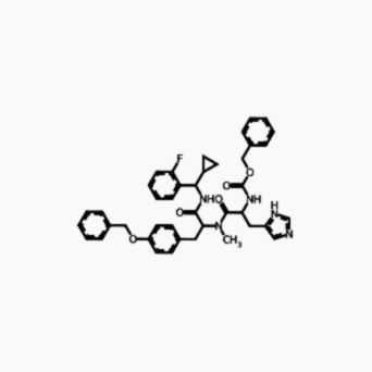 CN(C(=O)C(Cc1cnc[nH]1)NC(=O)OCc1ccccc1)C(Cc1ccc(OCc2ccccc2)cc1)C(=O)NC(c1ccccc1F)C1CC1